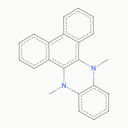 CN1c2ccccc2N(C)c2c1c1ccccc1c1ccccc21